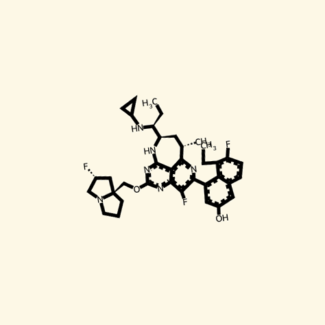 CCc1c(F)ccc2cc(O)cc(-c3nc4c5c(nc(OC[C@@]67CCCN6C[C@H](F)C7)nc5c3F)N[C@@H]([C@H](CC)NC3CC3)C[C@@H]4C)c12